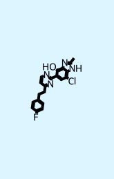 Cc1nc2c(O)c(-c3nccc(CCc4ccc(F)cc4)n3)cc(Cl)c2[nH]1